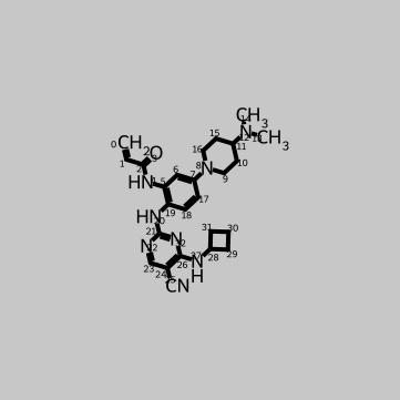 C=CC(=O)Nc1cc(N2CCC(N(C)C)CC2)ccc1Nc1ncc(C#N)c(NC2CCC2)n1